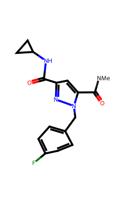 CNC(=O)c1cc(C(=O)NC2CC2)nn1Cc1ccc(F)cc1